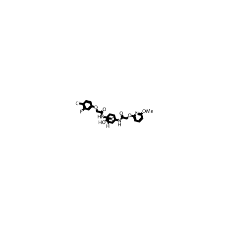 COc1cccc(OCC(=O)NC23CCC(NC(=O)COc4ccc(Cl)c(F)c4)(CC2)[C@@H](O)C3)n1